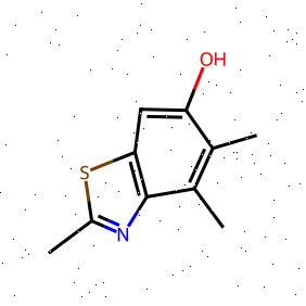 Cc1nc2c(C)c(C)c(O)cc2s1